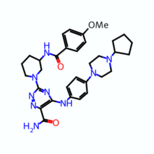 COc1ccc(C(=O)NC2CCCN(c3nnc(C(N)=O)c(Nc4ccc(N5CCN(C6CCCC6)CC5)cc4)n3)C2)cc1